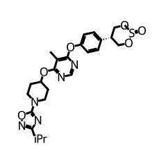 Cc1c(Oc2ccc([C@H]3CO[S@@](=O)OC3)cc2)ncnc1OC1CCN(c2nc(C(C)C)no2)CC1